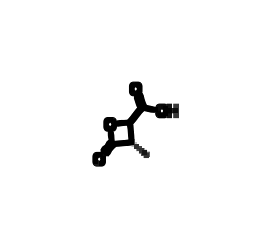 C[C@@H]1C(=O)OC1C(=O)O